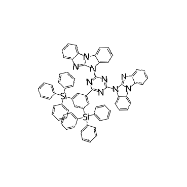 c1ccc([Si](c2ccccc2)(c2ccccc2)c2cc(-c3nc(-n4c5ccccc5n5c6ccccc6nc45)nc(-n4c5ccccc5n5c6ccccc6nc45)n3)cc([Si](c3ccccc3)(c3ccccc3)c3ccccc3)c2)cc1